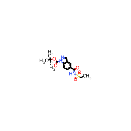 CCS(=O)(=O)NC(=O)c1ccc2c(cnn2C(=O)OC(C)(C)C)c1